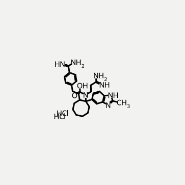 Cc1nc2cc(C3(N(CCC(=N)N)C(=O)O)CCCCCCC3CCc3ccc(C(=N)N)cc3)ccc2[nH]1.Cl.Cl